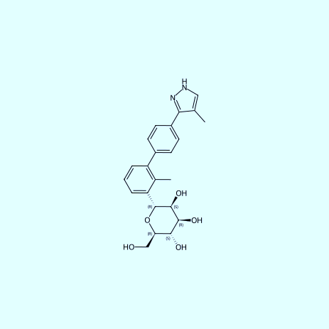 Cc1c[nH]nc1-c1ccc(-c2cccc([C@H]3O[C@H](CO)[C@@H](O)[C@H](O)[C@@H]3O)c2C)cc1